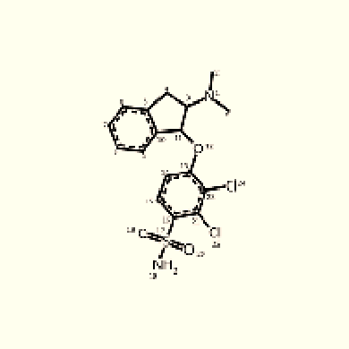 CN(C)C1Cc2ccccc2C1Oc1ccc(S(N)(=O)=O)c(Cl)c1Cl